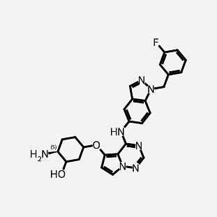 N[C@H]1CCC(Oc2ccn3ncnc(Nc4ccc5c(cnn5Cc5cccc(F)c5)c4)c23)CC1O